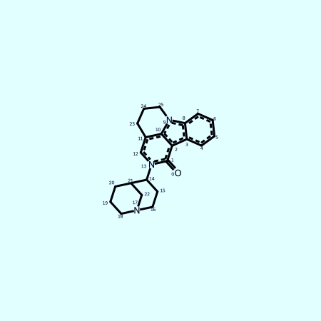 O=c1c2c3ccccc3n3c2c(cn1C1CCN2CCCC1C2)CCC3